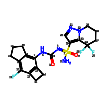 NS(=O)(=NC(=O)Nc1c2c(c(F)c3c1CC3)CCC2)c1cnn2c1C(F)(F)CCC2